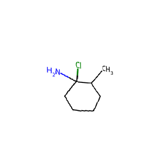 CC1CCCCC1(N)Cl